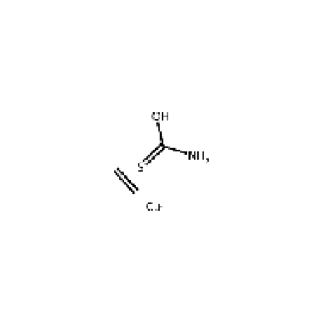 C=C.NC(O)=S.[Cu]